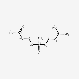 C=C(O)OCOP(C)(=O)OCOC(=O)O